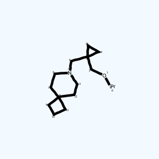 CC(C)OCC1(CN2CCC3(CCC3)CC2)CC1